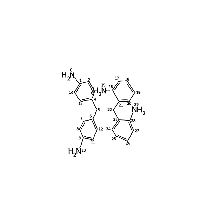 Nc1ccc(Cc2ccc(N)cc2)cc1.Nc1ccccc1Cc1ccccc1N